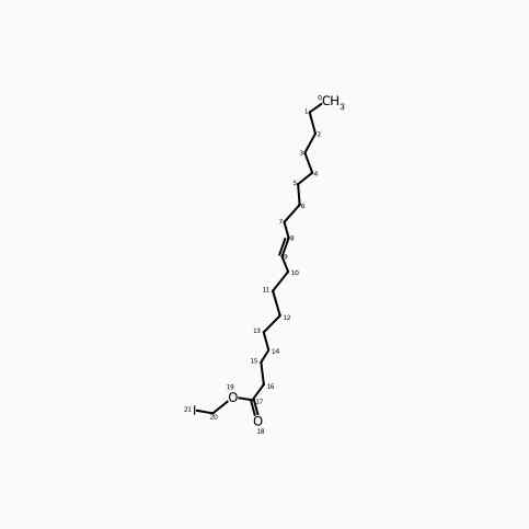 CCCCCCCC/C=C/CCCCCCCC(=O)OCI